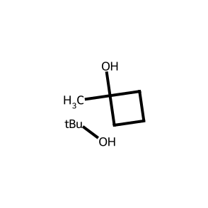 CC(C)(C)O.CC1(O)CCC1